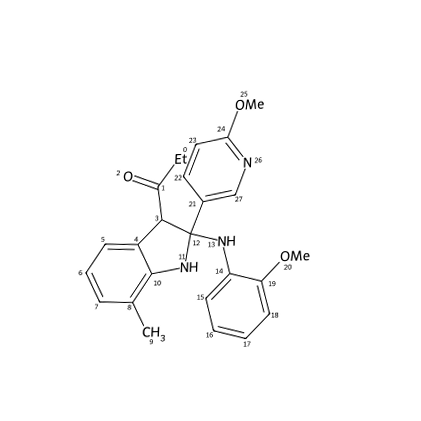 CCC(=O)C1c2cccc(C)c2NC1(Nc1ccccc1OC)c1ccc(OC)nc1